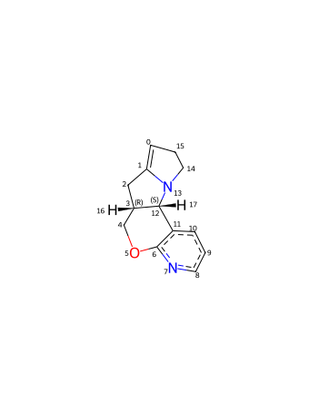 C1=C2C[C@H]3COc4ncccc4[C@H]3N2CC1